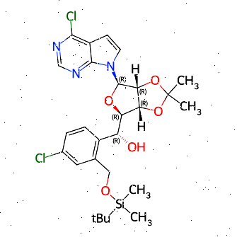 CC1(C)O[C@H]2[C@@H](O1)[C@H](n1ccc3c(Cl)ncnc31)O[C@@H]2[C@H](O)c1ccc(Cl)cc1CO[Si](C)(C)C(C)(C)C